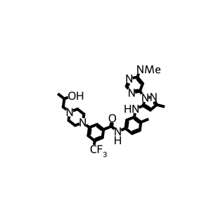 CNc1cc(-n2nc(C)cc2Nc2cc(NC(=O)c3cc(N4CCN(CC(C)O)CC4)cc(C(F)(F)F)c3)ccc2C)ncn1